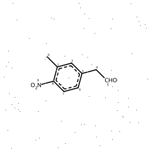 Cc1cc(C[C]=O)ccc1[N+](=O)[O-]